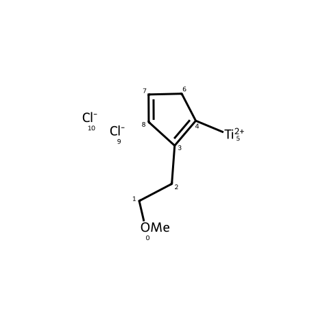 COCCC1=[C]([Ti+2])CC=C1.[Cl-].[Cl-]